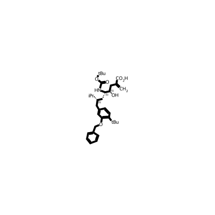 C=C(C[C@H](O)[C@H](C[C@H](Cc1ccc(C(C)(C)C)c(OCc2ccccc2)c1)C(C)C)NC(=O)OC(C)(C)C)C(=O)O